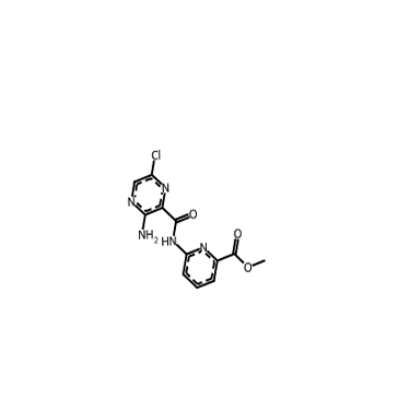 COC(=O)c1cccc(NC(=O)c2nc(Cl)cnc2N)n1